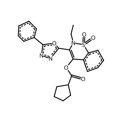 CCN1C(c2nnc(-c3ccccc3)o2)=C(OC(=O)C2CCCC2)c2ccccc2S1(=O)=O